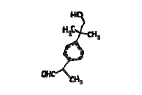 CC(C=O)c1ccc(C(C)(C)CO)cc1